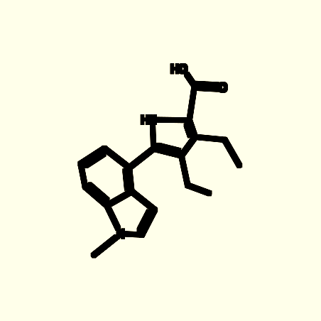 CCc1c(C(=O)O)[nH]c(-c2cccc3c2ccn3C)c1CC